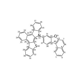 c1ccc2c(c1)ccc1oc3cc(-n4c5ccccc5c5c6ccccc6c6c7ccccc7sc6c54)ccc3c12